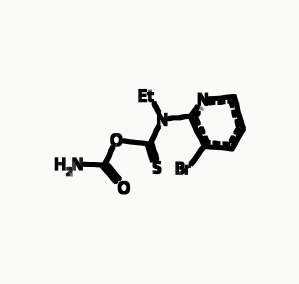 CCN(C(=S)OC(N)=O)c1ncccc1Br